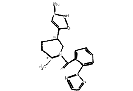 C[C@@H]1CC[C@@H](C2=CN(C(C)(C)C)NO2)CN1C(=O)c1ccccc1-n1nccn1